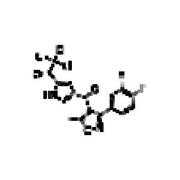 Cc1onc(-c2ccc(F)c(F)c2)c1C(=O)c1c[nH]c(C(=O)C(Cl)(Cl)Cl)c1